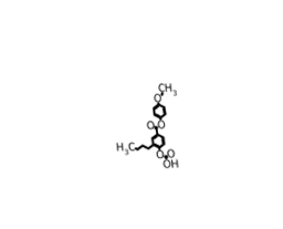 CCCCc1cc(C(=O)Oc2ccc(OCC)cc2)ccc1OC(=O)O